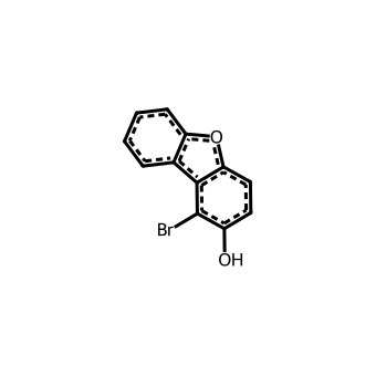 Oc1ccc2oc3ccccc3c2c1Br